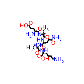 C[C@H](NC(=O)[C@H](CCC(N)=O)NC(=O)[C@H](C)NC(=O)[C@@H](N)CCC(=O)O)C(=O)N[C@@H](CCCCN)C(=O)O